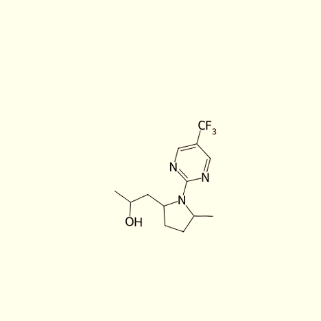 CC(O)CC1CCC(C)N1c1ncc(C(F)(F)F)cn1